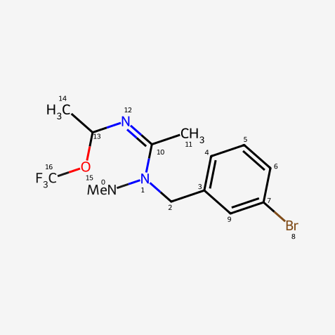 CNN(Cc1cccc(Br)c1)/C(C)=N\C(C)OC(F)(F)F